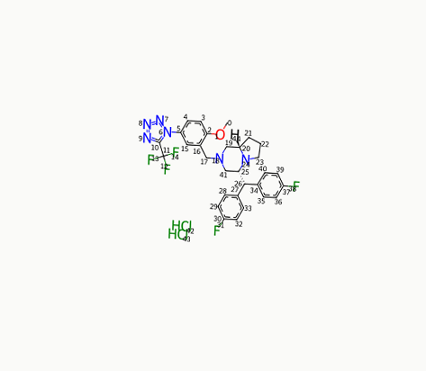 COc1ccc(-n2nnnc2C(F)(F)F)cc1CN1C[C@@H]2CCCN2[C@H](C(c2ccc(F)cc2)c2ccc(F)cc2)C1.Cl.Cl